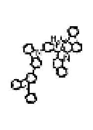 CC1(C)c2ccccc2-c2cccc(-c3nc(-c4cccc(-n5c6ccccc6c6cc(-c7ccc8c(c7)c7ccccc7n8-c7ccccc7)ccc65)c4)c4ccc5ccccc5c4n3)c21